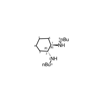 CCCCN[C@@H]1CCCC[C@H]1NCCCC